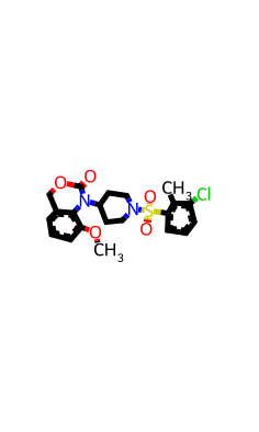 COc1cccc2c1N(C1CCN(S(=O)(=O)c3cccc(Cl)c3C)CC1)C(=O)OC2